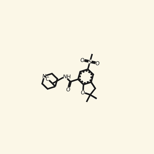 CC1(C)Cc2cc(S(C)(=O)=O)cc(C(=O)NC3CN4CCC3CC4)c2O1